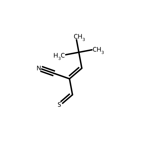 CC(C)(C)/C=C(\C#N)C=S